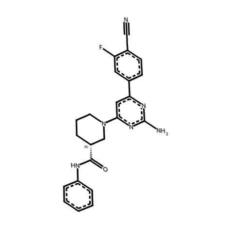 N#Cc1ccc(-c2cc(N3CCC[C@@H](C(=O)Nc4ccccc4)C3)nc(N)n2)cc1F